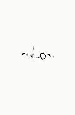 C=CCOC(=O)NCc1ccc(C=O)cc1